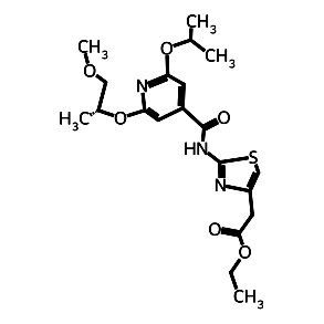 CCOC(=O)Cc1csc(NC(=O)c2cc(OC(C)C)nc(O[C@H](C)COC)c2)n1